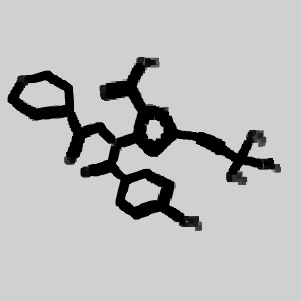 CC1=CC[C@@H](C(=O)N(CC(=O)N2CCOCC2)c2cc(C#CC(C)(C)C)sc2C(=O)O)CC1